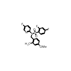 COc1ccc(CN(c2ccc(F)cn2)S(=O)(=O)c2ccc(F)cc2F)c(C)c1